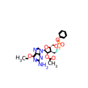 CCOc1nc(N)nc2c1ncn2[C@@H]1O[C@H](CO[PH](=O)Oc2ccccc2)[C@@H](CF)[C@H]1OC(C)=O